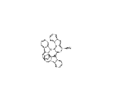 N#Cc1cc(-n2c3ccccc3c3ccccc32)c(-n2c3ccccc3c3ccccc32)c2c1sc1ccccc12